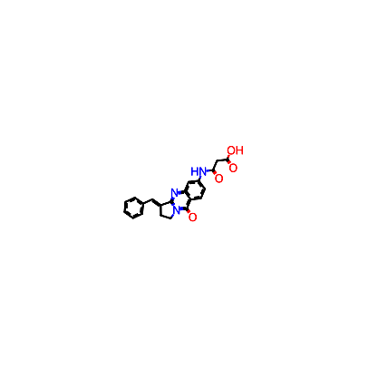 O=C(O)CC(=O)Nc1ccc2c(=O)n3c(nc2c1)C(=Cc1ccccc1)CC3